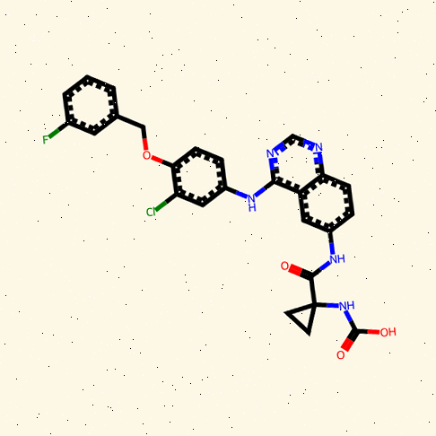 O=C(O)NC1(C(=O)Nc2ccc3ncnc(Nc4ccc(OCc5cccc(F)c5)c(Cl)c4)c3c2)CC1